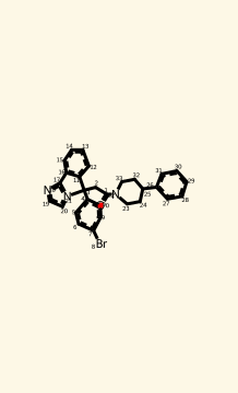 O=C(CC1(c2ccc(Br)cc2)c2ccccc2-c2nccn21)N1CCC(c2ccccc2)CC1